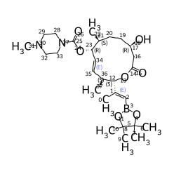 C/C(=C\B1OC(C)(C)C(C)(C)O1)[C@H]1OC(=O)C[C@H](O)CC[C@H](C)[C@@H](OC(=O)N2CCN(C)CC2)/C=C/[C@@H]1C